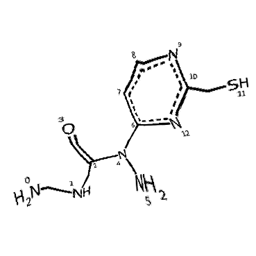 NNC(=O)N(N)c1ccnc(S)n1